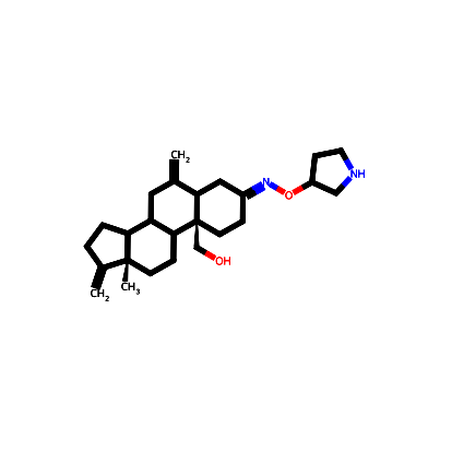 C=C1CC2C(CC[C@]3(C)C(=C)CCC23)[C@@]2(CO)CCC(=NOC3CCNC3)CC12